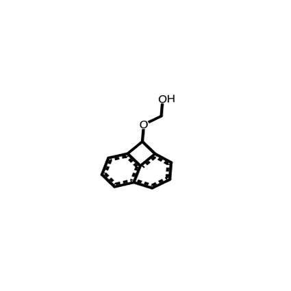 OCOC1c2cccc3cccc1c23